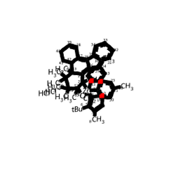 Cl.Cl.[CH2]=[Zr]([C]1=C(C(C)(C)C)C(C)=CC1)([c]1ccc(C)cc1)([c]1ccc(C)cc1)[C]1(C)C2=C3Cc4ccccc4C3=C3C=CCCC3C2(C)C(C)(C)C(C)(C)C1(C)C